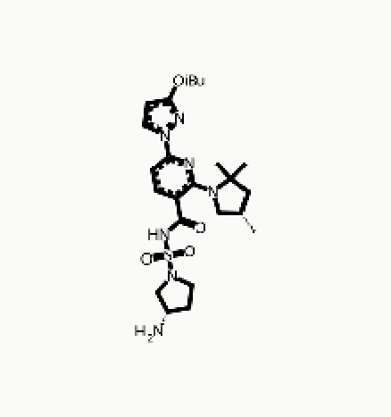 CC(C)COc1ccn(-c2ccc(C(=O)NS(=O)(=O)N3CC[C@H](N)C3)c(N3C[C@@H](C)CC3(C)C)n2)n1